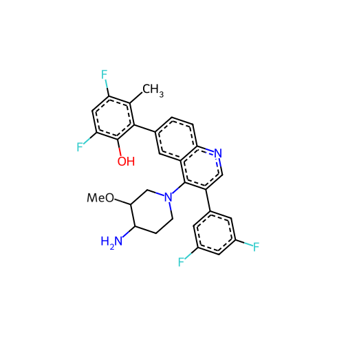 COC1CN(c2c(-c3cc(F)cc(F)c3)cnc3ccc(-c4c(C)c(F)cc(F)c4O)cc23)CCC1N